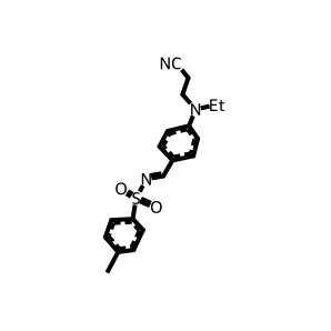 CCN(CCC#N)c1ccc(C=NS(=O)(=O)c2ccc(C)cc2)cc1